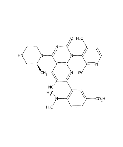 Cc1ccnc(C(C)C)c1-n1c(=O)nc(N2CCNC[C@@H]2C)c2cc(C#N)c(-c3cc(C(=O)O)ccc3N(C)C)nc21